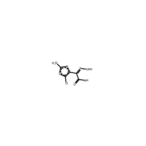 CON=C(C([NH])=O)c1nc(N)sc1Cl